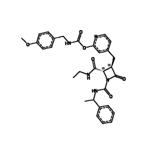 CCNC(=O)[C@@H]1[C@@H](Cc2ccnc(OC(=O)NCc3ccc(OC)cc3)c2)C(=O)N1C(=O)NC(C)c1ccccc1